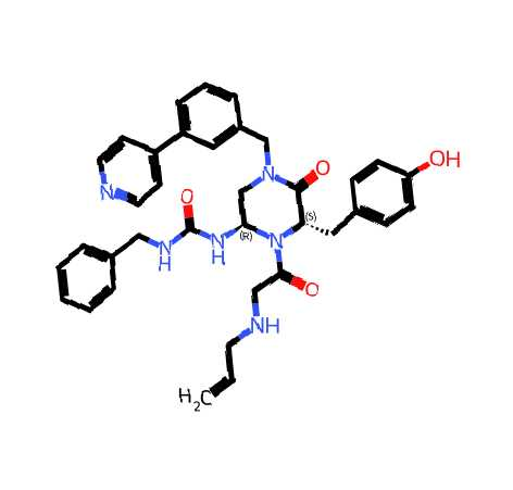 C=CCNCC(=O)N1[C@@H](NC(=O)NCc2ccccc2)CN(Cc2cccc(-c3ccncc3)c2)C(=O)[C@@H]1Cc1ccc(O)cc1